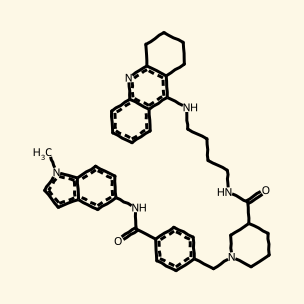 Cn1ccc2cc(NC(=O)c3ccc(CN4CCCC(C(=O)NCCCCNc5c6c(nc7ccccc57)CCCC6)C4)cc3)ccc21